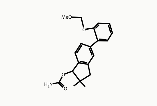 COCOc1ccccc1-c1ccc2c(c1)CC(C)(C)C2OC(N)=O